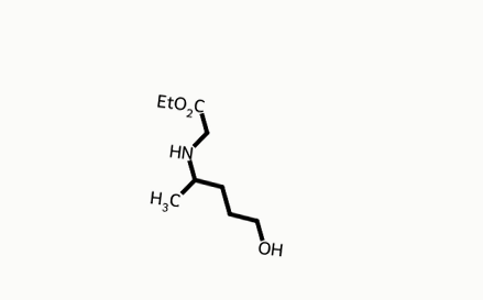 CCOC(=O)CNC(C)CCCO